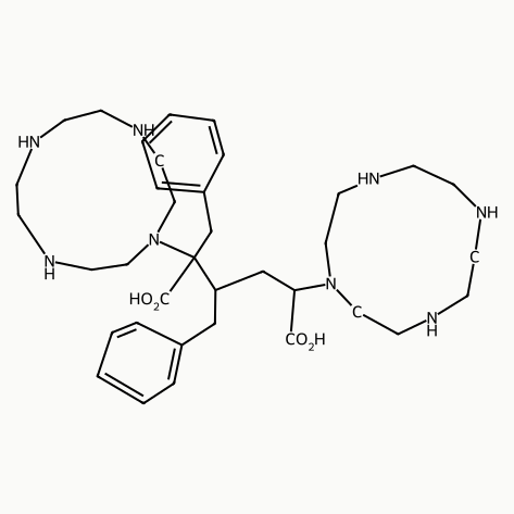 O=C(O)C(CC(Cc1ccccc1)C(Cc1ccccc1)(C(=O)O)N1CCNCCNCCNCC1)N1CCNCCNCCNCC1